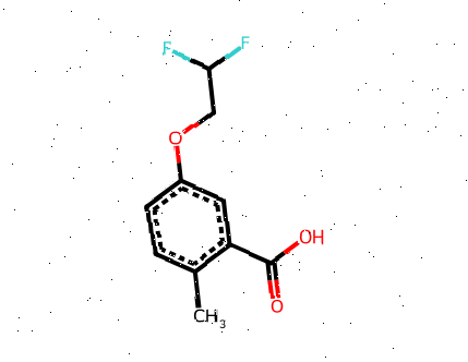 Cc1ccc(OCC(F)F)cc1C(=O)O